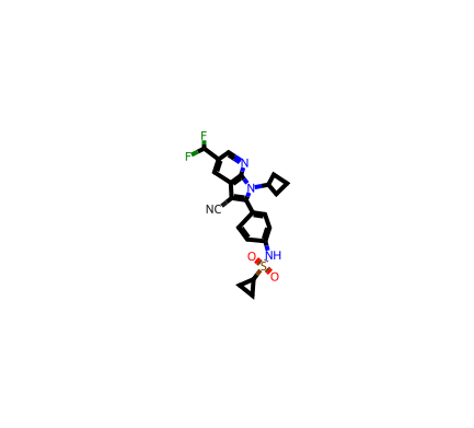 N#Cc1c(-c2ccc(NS(=O)(=O)C3CC3)cc2)n(C2CCC2)c2ncc(C(F)F)cc12